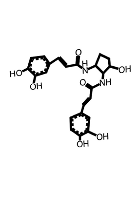 O=C(C=Cc1ccc(O)c(O)c1)NC1CCC(O)C1NC(=O)C=Cc1ccc(O)c(O)c1